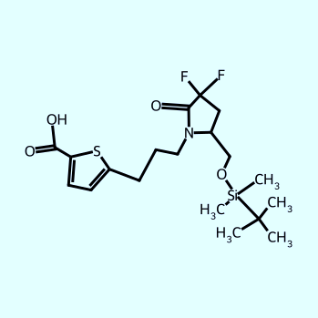 CC(C)(C)[Si](C)(C)OCC1CC(F)(F)C(=O)N1CCCc1ccc(C(=O)O)s1